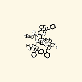 C[C@@H](CCCCC[C@@](OCc1ccccc1)(C(=O)NNC(=O)c1nc(OCc2ccccc2)c(C(F)(F)F)cc1NC(=O)OC(C)(C)C)C(F)(F)F)O[Si](c1ccccc1)(c1ccccc1)C(C)(C)C